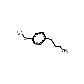 CCCCc1ccc(OP)cc1